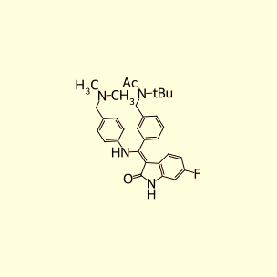 CC(=O)N(Cc1cccc(/C(Nc2ccc(CN(C)C)cc2)=C2/C(=O)Nc3cc(F)ccc32)c1)C(C)(C)C